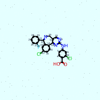 O=C(O)c1ccc(Nc2ncc3c(n2)-c2ccc(Cl)cc2C(c2ccccc2F)=NC3)cc1Cl